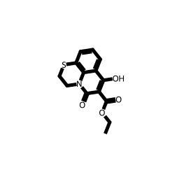 CCOC(=O)c1c(O)c2cccc3c2n(c1=O)CCS3